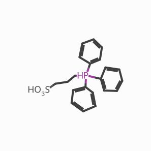 O=S(=O)(O)CCC[PH](c1ccccc1)(c1ccccc1)c1ccccc1